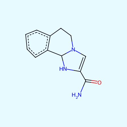 NC(=O)C1=CN2CCc3ccccc3C2N1